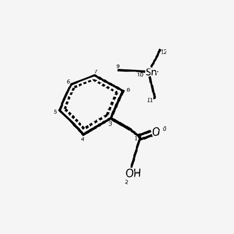 O=C(O)c1ccccc1.[CH3][Sn]([CH3])[CH3]